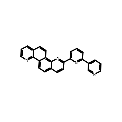 c1cncc(-c2cccc(-c3ccc4ccc5c(ccc6cccnc65)c4n3)n2)c1